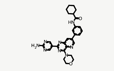 Nc1ncc(-c2nc(N3CCOCC3)c3ncc(-c4cccc(NC(=O)C5CCCCC5)c4)cc3n2)cn1